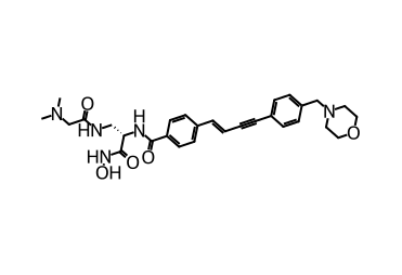 CN(C)CC(=O)NC[C@H](NC(=O)c1ccc(/C=C/C#Cc2ccc(CN3CCOCC3)cc2)cc1)C(=O)NO